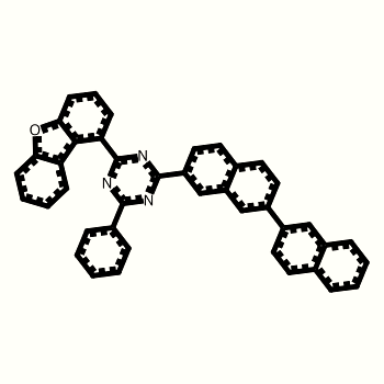 c1ccc(-c2nc(-c3ccc4ccc(-c5ccc6ccccc6c5)cc4c3)nc(-c3cccc4oc5ccccc5c34)n2)cc1